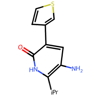 CC(C)c1[nH]c(=O)c(-c2ccsc2)cc1N